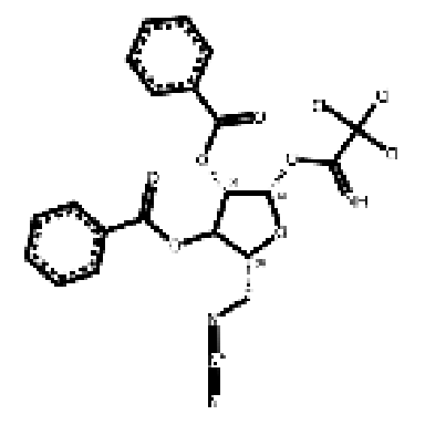 [N-]=[N+]=NC[C@H]1O[C@@H](OC(=N)C(Cl)(Cl)Cl)[C@@H](OC(=O)c2ccccc2)C1OC(=O)c1ccccc1